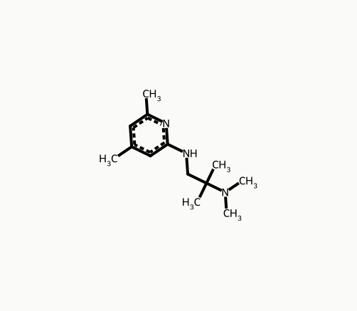 Cc1cc(C)nc(NCC(C)(C)N(C)C)c1